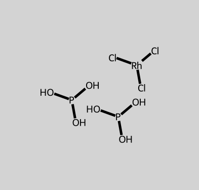 OP(O)O.OP(O)O.[Cl][Rh]([Cl])[Cl]